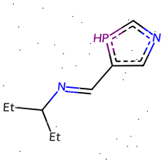 CCC(CC)/N=C/c1cnc[pH]1